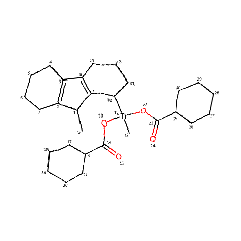 CC1C2=C(CCCC2)C2=C1[CH]([Ti]([CH3])([O]C(=O)C1CCCCC1)[O]C(=O)C1CCCCC1)CCC2